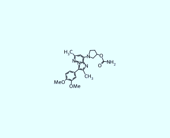 COc1ccc(-c2c(C)nc3c(N4CCC(OC(N)=O)C4)cc(C)nn23)cc1OC